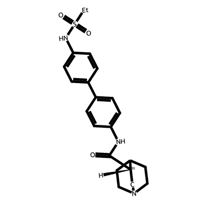 CCS(=O)(=O)Nc1ccc(-c2ccc(NC(=O)[C@H]3CN4CCC3CC4)cc2)cc1